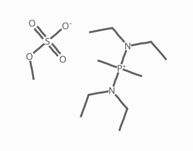 CCN(CC)[P+](C)(C)N(CC)CC.COS(=O)(=O)[O-]